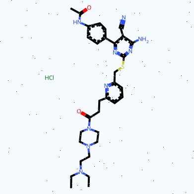 CCN(CC)CCN1CCN(C(=O)CCc2cccc(CSc3nc(N)c(C#N)c(-c4ccc(NC(C)=O)cc4)n3)n2)CC1.Cl